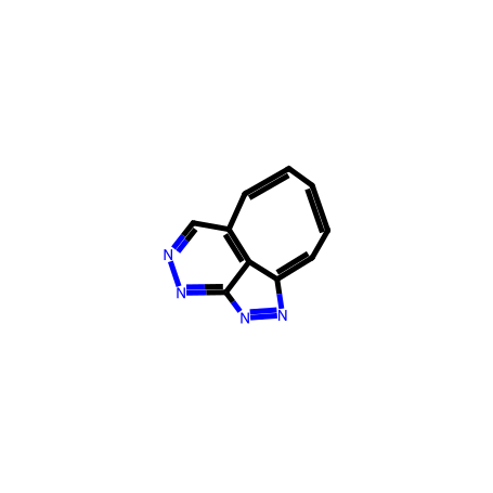 C1=CC=C2N=Nc3nncc(c32)C=C1